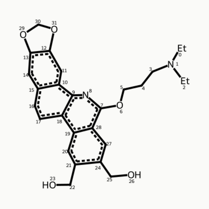 CCN(CC)CCCOc1nc2c3cc4c(cc3ccc2c2cc(CO)c(CO)cc12)OCO4